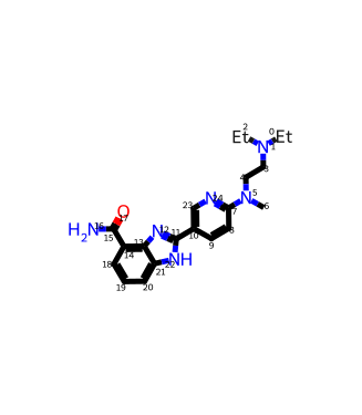 CCN(CC)CCN(C)c1ccc(-c2nc3c(C(N)=O)cccc3[nH]2)cn1